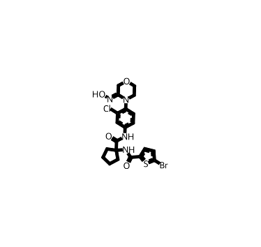 O=C(NC1(C(=O)Nc2ccc(N3CCOCC3=NO)c(Cl)c2)CCCC1)c1ccc(Br)s1